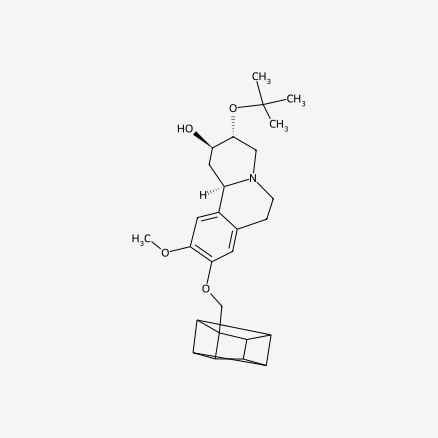 COc1cc2c(cc1OCC13C4C5C6C4C1C6C53)CCN1C[C@@H](OC(C)(C)C)[C@H](O)C[C@H]21